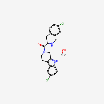 CCNC(Cc1ccc(Cl)cc1)C(=O)N1CCc2c([nH]c3ccc(Cl)cc23)C1.O=CO